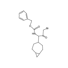 O=C(NC(C(=O)CBr)C1CCC2CC2CC1)OCc1ccccc1